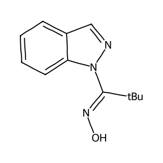 CC(C)(C)C(=NO)n1ncc2ccccc21